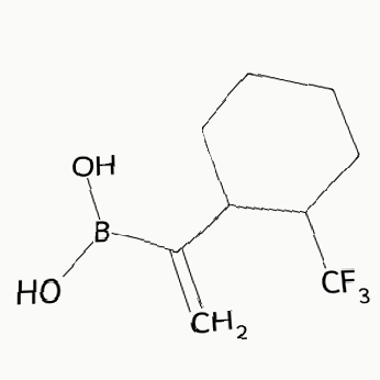 C=C(B(O)O)C1CCCCC1C(F)(F)F